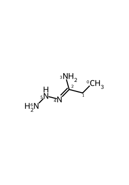 CC/C(N)=N/NN